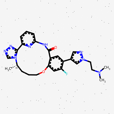 C[C@H]1CCCOc2cc(F)c(-c3cnn(CCN(C)C)c3)cc2C(=O)Nc2cccc(n2)-c2nncn21